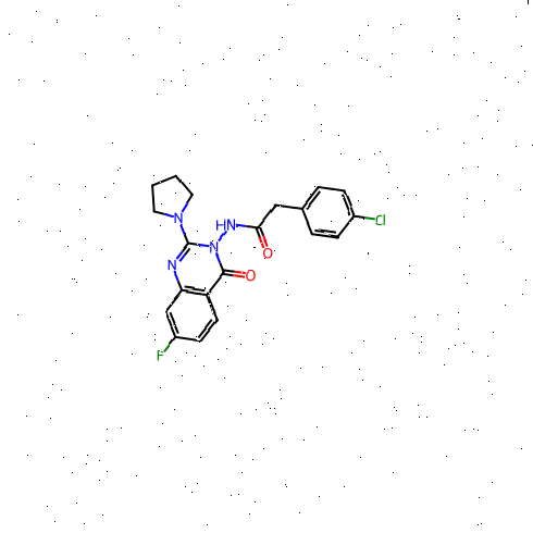 O=C(Cc1ccc(Cl)cc1)Nn1c(N2CCCC2)nc2cc(F)ccc2c1=O